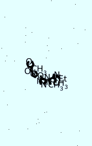 CCn1ncc(-c2nc3c(OC4CCN(C(=O)C5(C)CCOCC5)C4)ncnc3n2C)c1C